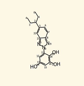 CCC(CC)c1ccc2nn(-c3cc(O)cc(O)c3O)nc2c1